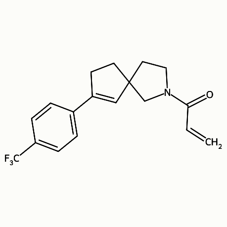 C=CC(=O)N1CCC2(C=C(c3ccc(C(F)(F)F)cc3)CC2)C1